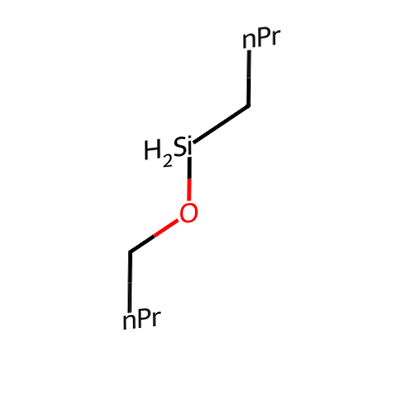 CCCCO[SiH2]CCCC